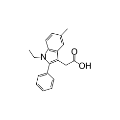 CCn1c(-c2ccccc2)c(CC(=O)O)c2cc(C)ccc21